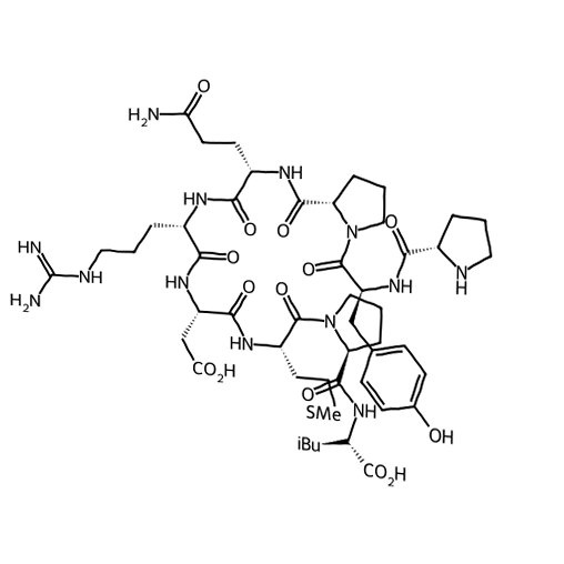 CC[C@H](C)[C@H](NC(=O)[C@@H]1CCCN1C(=O)[C@H](CCSC)NC(=O)[C@H](CC(=O)O)NC(=O)[C@H](CCCNC(=N)N)NC(=O)[C@H](CCC(N)=O)NC(=O)[C@@H]1CCCN1C(=O)[C@H](Cc1ccc(O)cc1)NC(=O)[C@@H]1CCCN1)C(=O)O